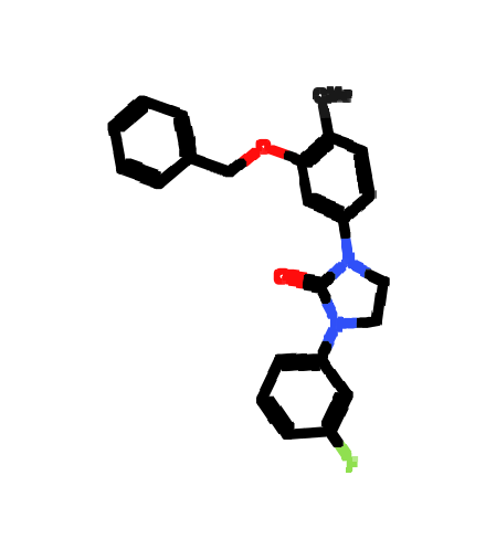 COc1ccc(N2CCN(c3cccc(F)c3)C2=O)cc1OCc1ccccc1